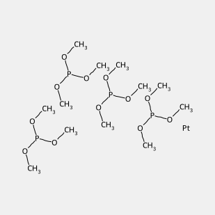 COP(OC)OC.COP(OC)OC.COP(OC)OC.COP(OC)OC.[Pt]